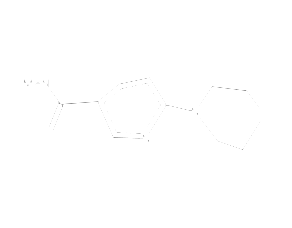 [CH2]NC(=O)c1ccc(N2CCOCC2)nc1